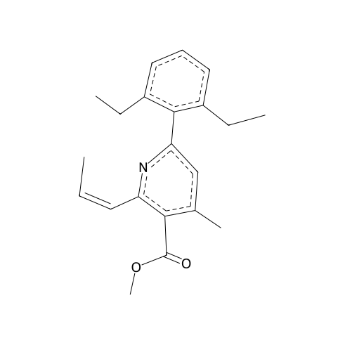 C/C=C\c1nc(-c2c(CC)cccc2CC)cc(C)c1C(=O)OC